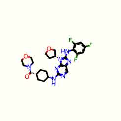 O=C([C@H]1CC[C@H](Nc2ncc3nc(Nc4c(F)cc(F)cc4F)n([C@@H]4CCOC4)c3n2)CC1)N1CCOCC1